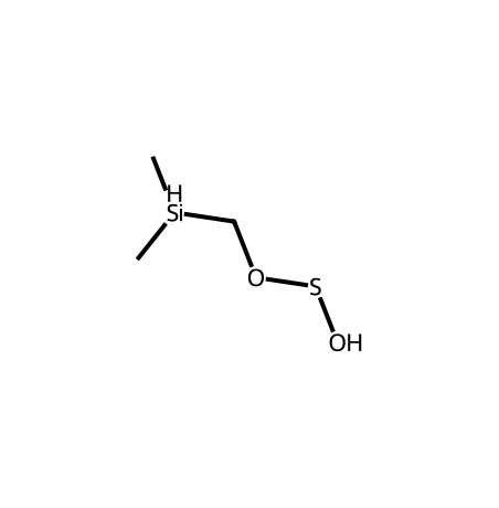 C[SiH](C)COSO